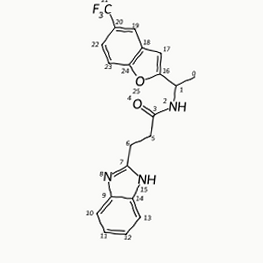 CC(NC(=O)CCc1nc2ccccc2[nH]1)c1cc2cc(C(F)(F)F)ccc2o1